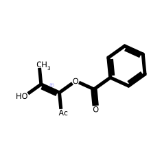 CC(=O)/C(OC(=O)c1ccccc1)=C(/C)O